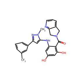 Cn1nc(-c2cccc(C(F)(F)F)c2)cc1Nc1cc(O)cc(O)c1C(=O)N1Cc2cccnc2C1